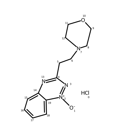 Cl.[O-][n+]1nc(CCN2CCOCC2)nc2ccccc21